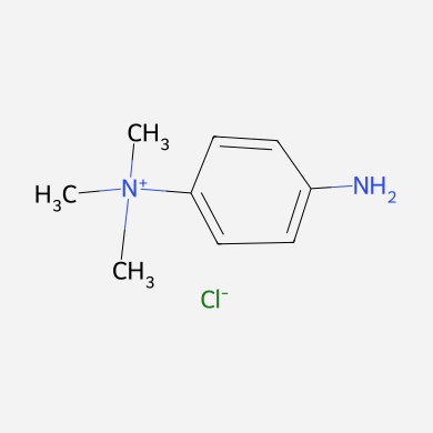 C[N+](C)(C)c1ccc(N)cc1.[Cl-]